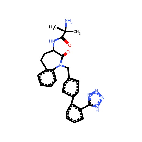 CC(C)(N)C(=O)NC1CCc2ccccc2N(Cc2ccc(-c3ccccc3-c3nnn[nH]3)cc2)C1=O